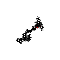 CCOc1cc(C(C)(C)C)ccc1C1=N[C@](C)(c2ccc(Cl)cc2)[C@](C)(c2ccc(Cl)cc2)N1C(=O)N1CCN(CC(=O)NCCCNC(=O)COc2ccc3c(c2)CN(C(=O)[C@H](NC(=O)[C@@H](C)NC)C(C)(C)C)[C@@H](C(=O)N[C@H]2CCCc4ccccc42)C3)CC1